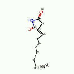 CCCCCCCCCCCCC=C1CC(=O)NC1=O